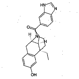 CC[C@@H]1[C@H]2Cc3ccc(O)cc3[C@]1(CC)CCN2C(=O)c1ccc2nc[nH]c2c1